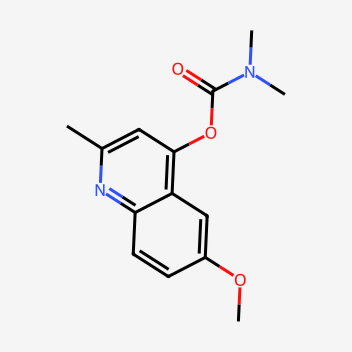 COc1ccc2nc(C)cc(OC(=O)N(C)C)c2c1